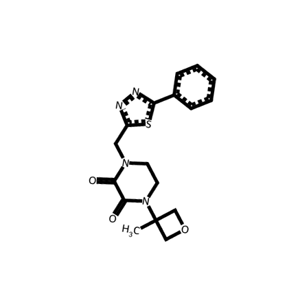 CC1(N2CCN(Cc3nnc(-c4ccccc4)s3)C(=O)C2=O)COC1